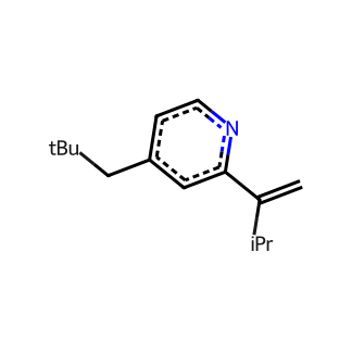 C=C(c1cc(CC(C)(C)C)ccn1)C(C)C